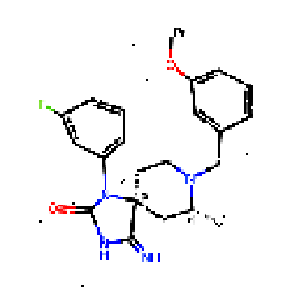 CC(C)Oc1cccc(CN2CC[C@]3(C[C@H]2C)C(=N)NC(=O)N3c2cccc(F)c2)c1